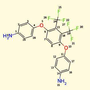 Nc1ccc(Oc2ccc(Oc3ccc(N)cc3)c(C(F)(F)F)c2C(F)(F)F)cc1